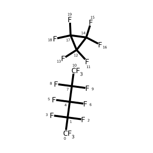 FC(F)(F)C(F)(F)C(F)(F)C(F)(F)C(F)(F)F.FC1(F)C(F)(F)C1(F)F